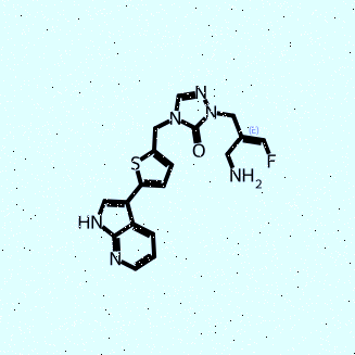 NC/C(=C\F)Cn1ncn(Cc2ccc(-c3c[nH]c4ncccc34)s2)c1=O